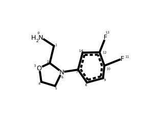 NCC1OCCN1c1ccc(F)c(F)c1